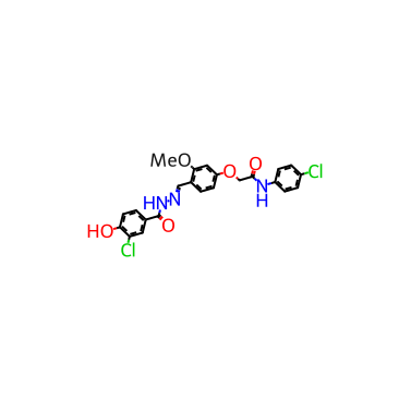 COc1cc(OCC(=O)Nc2ccc(Cl)cc2)ccc1C=NNC(=O)c1ccc(O)c(Cl)c1